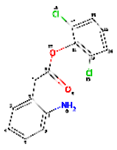 Nc1ccccc1CC(=O)Oc1c(Cl)cccc1Cl